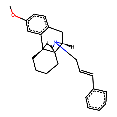 COc1ccc2c(c1)[C@@]13CCCC[C@H]1[C@@H](C2)N(CC=Cc1ccccc1)CC3